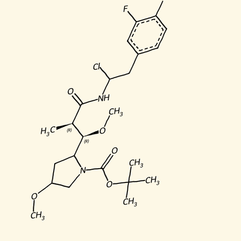 COC1CC([C@H](OC)[C@@H](C)C(=O)NC(Cl)Cc2ccc(Cl)c(F)c2)N(C(=O)OC(C)(C)C)C1